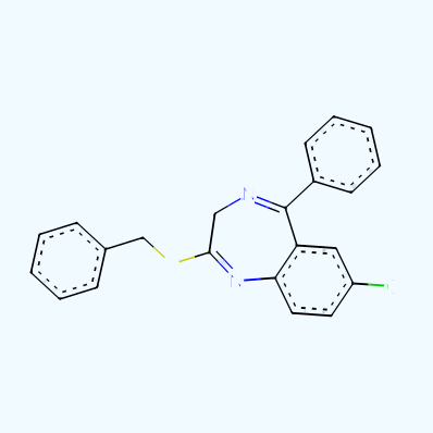 Clc1ccc2c(c1)C(c1ccccc1)=NCC(SCc1ccccc1)=N2